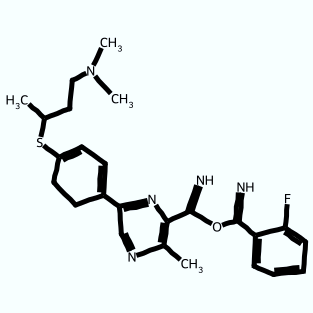 Cc1ncc(C2=CC=C(SC(C)CCN(C)C)CC2)nc1C(=N)OC(=N)c1ccccc1F